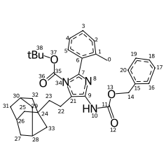 Cc1ccccc1-c1nc(NC(=O)OCc2ccccc2)c(CCC23CC4CC(CC(C4)C2)C3)n1C(=O)OC(C)(C)C